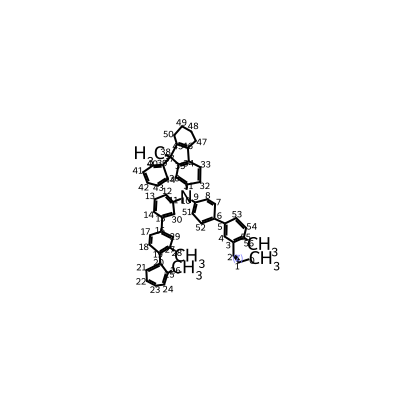 C/C=C\c1cc(-c2ccc(N(c3cccc(-c4ccc(-c5ccccc5C)c(C)c4)c3)c3ccc4c(c3)C(C)(c3ccccc3)C3=C4CCCC3)cc2)ccc1C